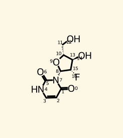 O=c1cc[nH]c(=O)n1[C@@H]1O[C@H](CO)[C@@H](O)[C@@H]1F